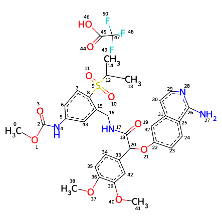 COC(=O)Nc1ccc(S(=O)(=O)C(C)C)c(CNC(=O)C(Oc2ccc3c(N)nccc3c2)c2ccc(OC)c(OC)c2)c1.O=C(O)C(F)(F)F